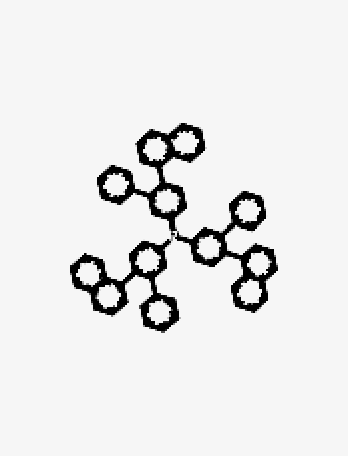 c1ccc(-c2cc(N(c3ccc(-c4cccc5ccccc45)c(-c4ccccc4)c3)c3ccc(-c4cccc5ccccc45)c(-c4ccccc4)c3)ccc2-c2cccc3ccccc23)cc1